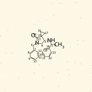 CC(N[C@@H]1CN(Cc2ccccc2)C(=O)C12CC2)c1ccccc1